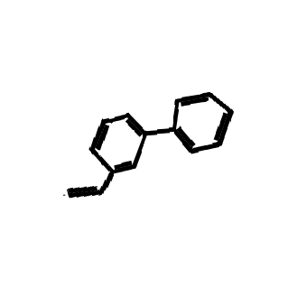 [CH]=Cc1cccc(-c2ccccc2)c1